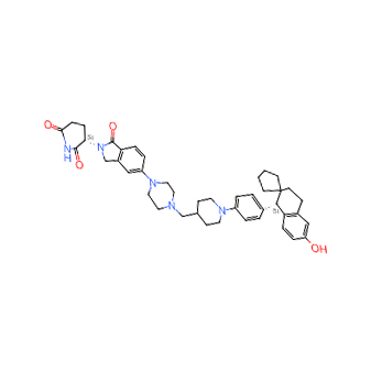 O=C1CC[C@H](N2Cc3cc(N4CCN(CC5CCN(c6ccc([C@H]7c8ccc(O)cc8CCC78CCCC8)cc6)CC5)CC4)ccc3C2=O)C(=O)N1